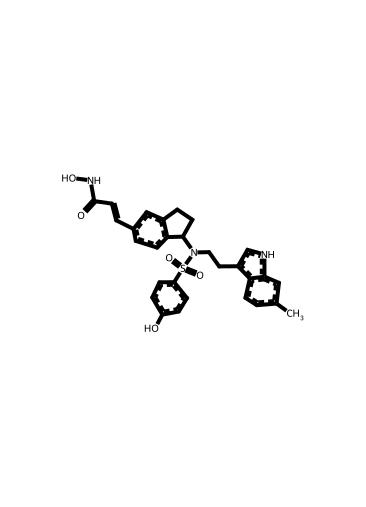 Cc1ccc2c(CCN(C3CCc4cc(C=CC(=O)NO)ccc43)S(=O)(=O)c3ccc(O)cc3)c[nH]c2c1